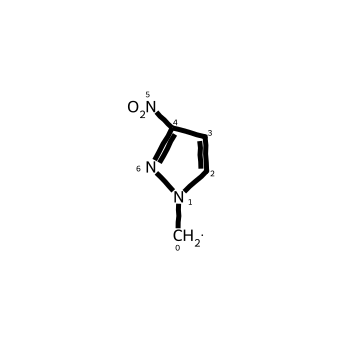 [CH2]n1ccc([N+](=O)[O-])n1